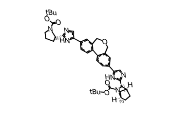 CC(C)(C)OC(=O)N1CCC[C@H]1c1ncc(-c2ccc3c(c2)COCc2cc(-c4cnc([C@H]5[C@H]6CC[C@H](C6)N5C(=O)OC(C)(C)C)[nH]4)ccc2-3)[nH]1